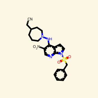 N#CCC1CCCN(Nc2c([N+](=O)[O-])cnc3c2ccn3S(=O)(=O)Cc2ccccc2)CC1